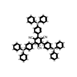 N#Cc1c(-c2ccc(N(c3ccccc3)c3ccccc3)cc2)c(C#N)c(-c2ccc(N(c3ccccc3)c3ccccc3)cc2)c(C#N)c1-c1ccc(N(c2ccccc2)c2ccccc2)cc1